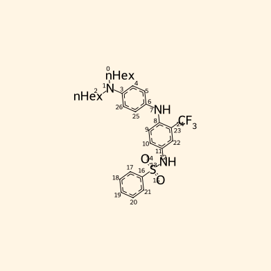 CCCCCCN(CCCCCC)c1ccc(Nc2ccc(NS(=O)(=O)c3ccccc3)cc2C(F)(F)F)cc1